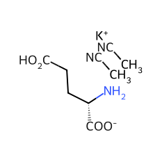 CC#N.CC#N.N[C@@H](CCC(=O)O)C(=O)[O-].[K+]